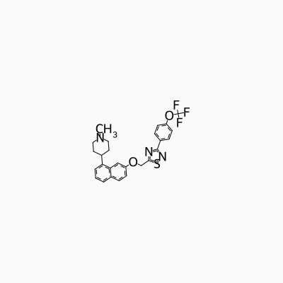 CN1CCC(c2cccc3ccc(OCc4nc(-c5ccc(OC(F)(F)F)cc5)ns4)cc23)CC1